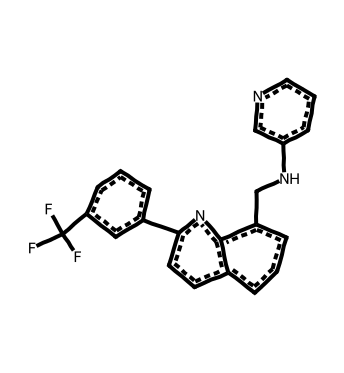 FC(F)(F)c1cccc(-c2ccc3cccc(CNc4cccnc4)c3n2)c1